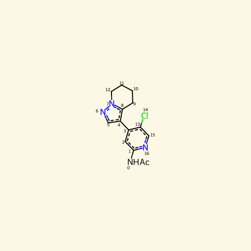 CC(=O)Nc1cc(-c2cnn3c2CCCC3)c(Cl)cn1